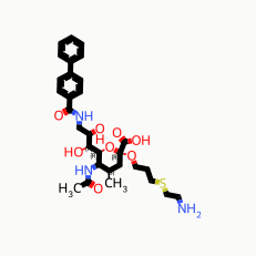 CC(=O)NC1[C@H]([C@H](O)C(O)CNC(=O)c2ccc(-c3ccccc3)cc2)O[C@@](OCCCSCCN)(C(=O)O)C[C@@H]1C